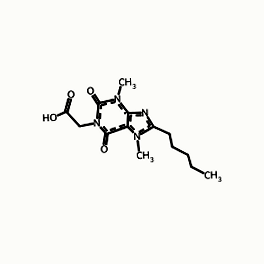 CCCCCc1nc2c(c(=O)n(CC(=O)O)c(=O)n2C)n1C